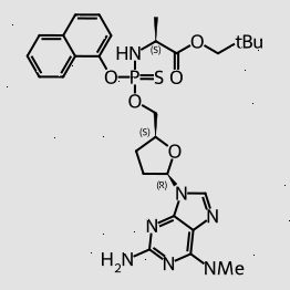 CNc1nc(N)nc2c1ncn2[C@H]1CC[C@@H](COP(=S)(N[C@@H](C)C(=O)OCC(C)(C)C)Oc2cccc3ccccc23)O1